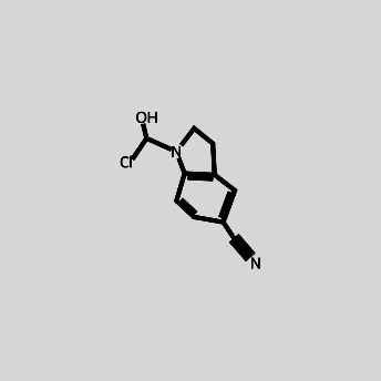 N#Cc1ccc2c(c1)CCN2C(O)Cl